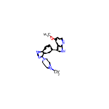 COc1ccnc2[nH]cc(-c3ccc4ncnc(N5CCN(C)CC5)c4c3)c12